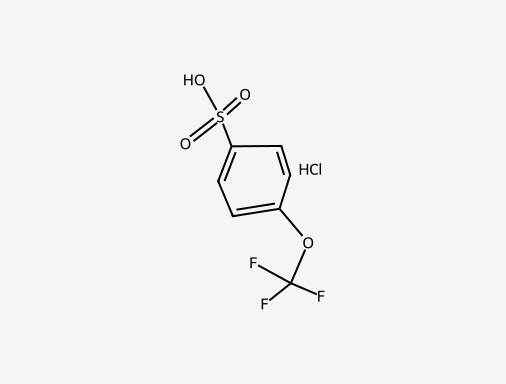 Cl.O=S(=O)(O)c1ccc(OC(F)(F)F)cc1